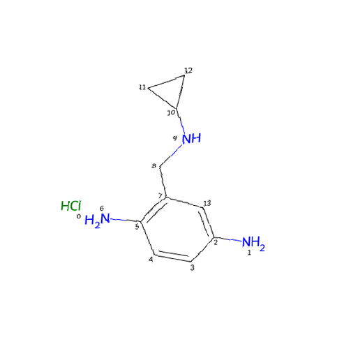 Cl.Nc1ccc(N)c(CNC2CC2)c1